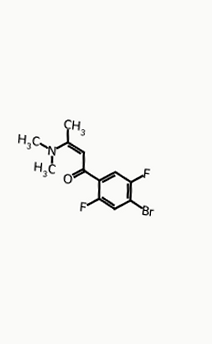 CC(=CC(=O)c1cc(F)c(Br)cc1F)N(C)C